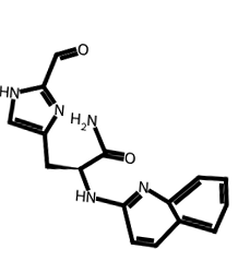 NC(=O)[C@H](Cc1c[nH]c(C=O)n1)Nc1ccc2ccccc2n1